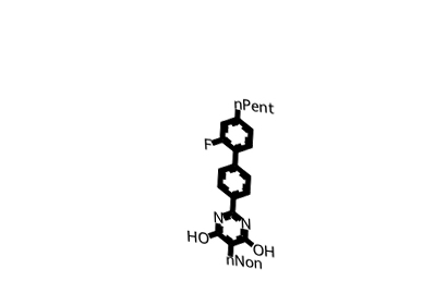 CCCCCCCCCc1c(O)nc(-c2ccc(-c3ccc(CCCCC)cc3F)cc2)nc1O